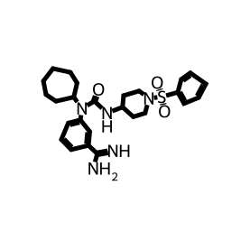 N=C(N)c1cccc(N(C(=O)NC2CCN(S(=O)(=O)c3ccccc3)CC2)C2CCCCCC2)c1